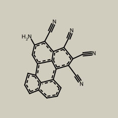 N#Cc1c(C#N)c2c(C#N)c(N)cc3c4cccc5cccc(c(c1C#N)c23)c54